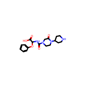 O=C(O)C(NC(=O)N1CCN(C2CCNCC2)C(=O)C1)Oc1ccccc1